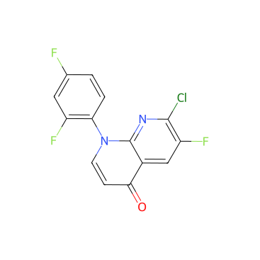 O=c1ccn(-c2ccc(F)cc2F)c2nc(Cl)c(F)cc12